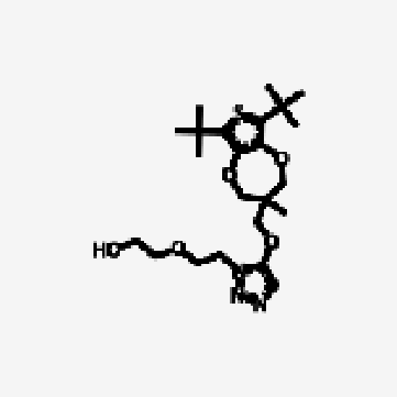 CC1(COc2cnnn2CCOCCO)COc2c(C(C)(C)C)sc(C(C)(C)C)c2OC1